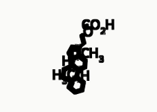 C[C@]12CC[C@H]3[C@@H](CCC4=CCCC[C@@]43C)[C@@H]1CC[C@H]2CCOC(=O)O